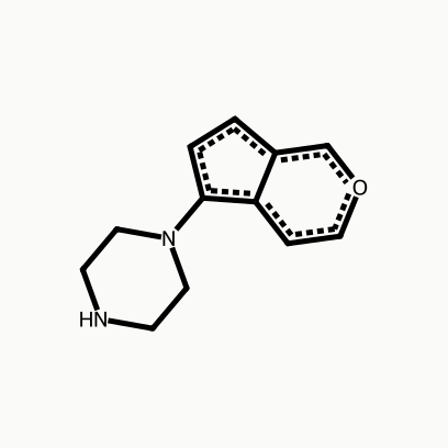 c1cc2c(N3CCNCC3)ccc-2co1